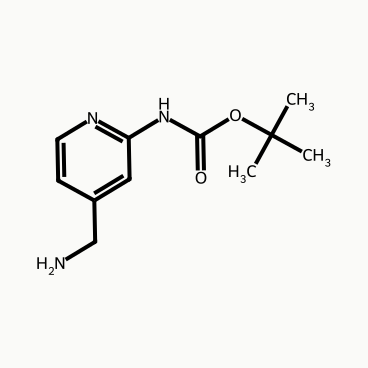 CC(C)(C)OC(=O)Nc1cc(CN)ccn1